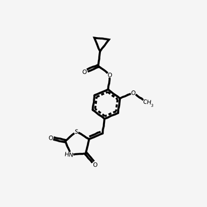 COc1cc(/C=C2\SC(=O)NC2=O)ccc1OC(=O)C1CC1